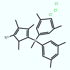 CC1=[C]([Ti+3])C(C)C([Si](C)(c2cc(C)cc(C)c2)c2cc(C)cc(C)c2)=C1C.[Cl-].[Cl-].[Cl-]